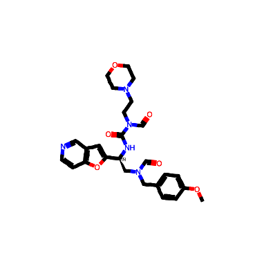 COc1ccc(CN(C=O)C[C@H](NC(=O)N(C=O)CCN2CCOCC2)c2cc3cnccc3o2)cc1